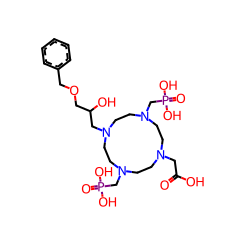 O=C(O)CN1CCN(CP(=O)(O)O)CCN(CC(O)COCc2ccccc2)CCN(CP(=O)(O)O)CC1